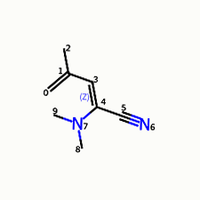 C=C(C)/C=C(/C#N)N(C)C